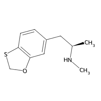 CN[C@H](C)Cc1ccc2c(c1)OCS2